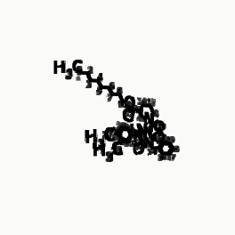 CCCCCCCCCCOC(=O)C1CCCN(C(=O)c2nn(-c3ccc(C)c(C)c3)c(=O)n(Cc3ccccc3)c2=O)C1